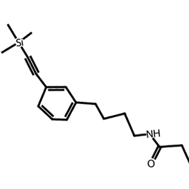 CCC(=O)NCCCCc1cccc(C#C[Si](C)(C)C)c1